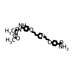 CC(=O)ON=C(C)ON=C(N)c1ccc(OCCCC2CCN(CCCOc3ccc(C(N)=O)cc3)CC2)cc1